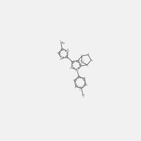 CC(C)(C)c1cnc(-c2nn(-c3ccc(Br)cc3)c3c2C2CCC3C2)o1